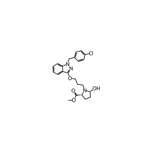 COC(=O)[C@@H]1CC[C@H](O)N1CCCOc1nn(Cc2ccc(Cl)cc2)c2ccccc12